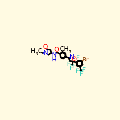 CCN1CC(NC(=O)c2ccc(C3=NOC(c4cc(C(F)(F)F)cc(Br)c4F)(C(F)(F)F)C3)cc2C)CC1=O